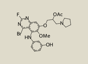 COc1c(OCC(CN2CCCC2)OC(C)=O)cc2nc(F)nc(Br)c2c1Nc1cccc(O)c1